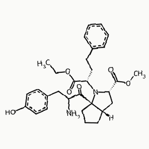 CCOC(=O)[C@H](CCc1ccccc1)N1[C@H](C(=O)OC)C[C@@H]2CCC[C@@]21C(=O)C(N)Cc1ccc(O)cc1